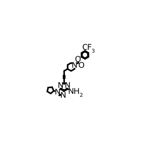 Nc1nc(C#CCC2CCN(C(=O)Oc3cccc(C(F)(F)F)c3)CC2)nc2c1ncn2C1CCCC1